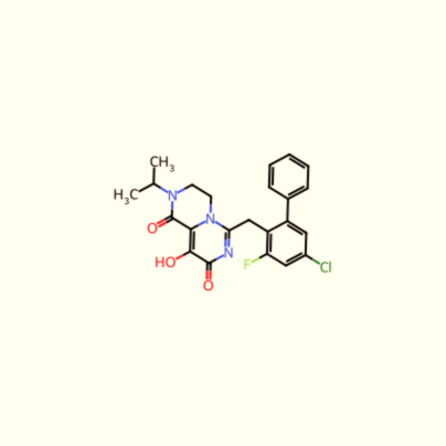 CC(C)N1CCn2c(Cc3c(F)cc(Cl)cc3-c3ccccc3)nc(=O)c(O)c2C1=O